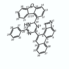 C1=Nc2ccc3c(c(C4=NC(c5cccc6oc7ccccc7c56)NC(c5ccccc5)=N4)cc4ccccc43)c21